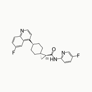 O=C(Nc1ccc(F)cn1)[C@H]1C[C@]12CC[C@H](c1ccnc3ccc(F)cc31)CC2